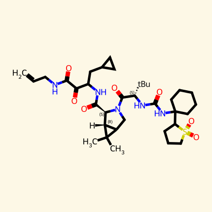 C=CCNC(=O)C(=O)C(CC1CC1)NC(=O)[C@@H]1[C@@H]2C(CN1C(=O)[C@@H](NC(=O)NC1(C3CCCS3(=O)=O)CCCCC1)C(C)(C)C)C2(C)C